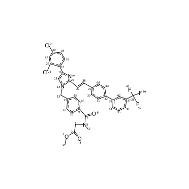 COC(=O)CN(C)C(=O)c1ccc(Cn2cc(-c3ccc(Cl)cc3Cl)nc2C=Cc2ccc(-c3cccc(C(F)(F)F)c3)cc2)cc1